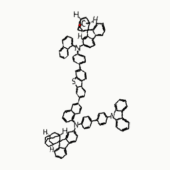 c1ccc2c(c1)-c1ccc(N(c3ccc(-c4ccc5c(c4)sc4cc(-c6ccc7c(N(c8ccc(-c9ccc(-n%10c%11ccccc%11c%11ccccc%11%10)cc9)cc8)c8ccc9c(c8)C8(c%10ccccc%10-9)[C@H]9CC%10C[C@H](C9)C[C@H]8C%10)cccc7c6)ccc45)cc3)c3cccc4ccccc34)cc1C21[C@H]2CCC3C[C@@H](C2)C[C@H]31